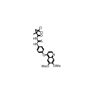 COc1cc2nccc(Oc3ccc(NC(=S)NC(=O)C4(C)CC4(Cl)Cl)cc3)c2cc1OC